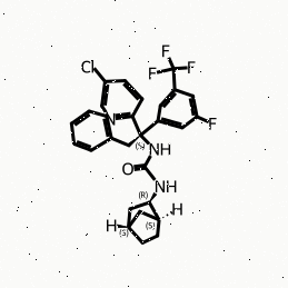 O=C(N[C@@H]1C[C@H]2CC[C@H]1C2)N[C@@](Cc1ccccc1)(c1cc(F)cc(C(F)(F)F)c1)c1ccc(Cl)cn1